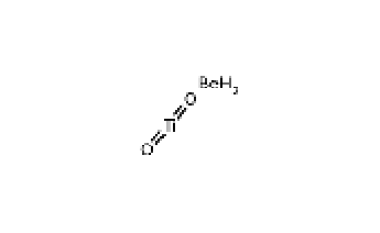 [BeH2].[O]=[Ti]=[O]